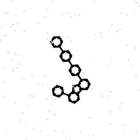 c1ccc(-c2cccc3c2sc2c(-c4ccc(-c5ccc(-c6cccnc6)cc5)cc4)cccc23)cc1